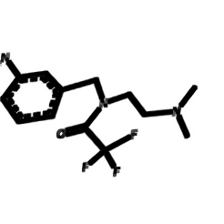 CN(C)CCN(Cc1cccc(N)c1)C(=O)C(F)(F)F